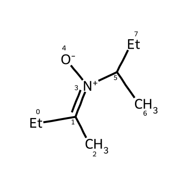 CCC(C)=[N+]([O-])C(C)CC